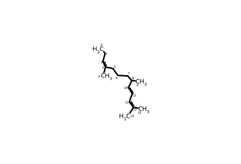 [CH2]CC=C(C)CCCC(C)C=CC=C(C)C